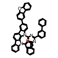 c1ccc(-c2cccc(-c3nc(-c4ccccc4)nc(-n4c5ccc(-c6ccc7oc8ccccc8c7c6)cc5c5ccc6c7ccccc7n(-c7ccccc7)c6c54)n3)c2)cc1